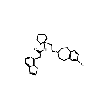 CC(=O)c1ccc2c(c1)CCN(CCC1(NC(=O)Cc3cccc4ccsc34)CCCCC1)CC2